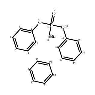 CCCCP(=O)(Oc1ccccc1)Oc1ccccc1.c1ccccc1